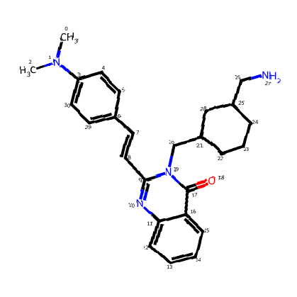 CN(C)c1ccc(C=Cc2nc3ccccc3c(=O)n2CC2CCCC(CN)C2)cc1